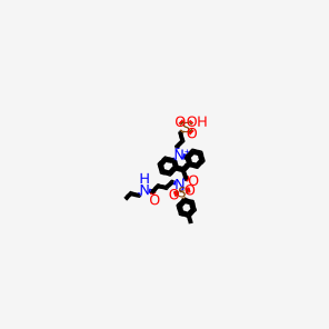 CCCNC(=O)CCCN(C(=O)c1c2ccccc2[n+](CCCS(=O)(=O)O)c2ccccc12)S(=O)(=O)c1ccc(C)cc1